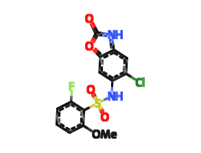 COc1cccc(F)c1S(=O)(=O)Nc1cc2oc(=O)[nH]c2cc1Cl